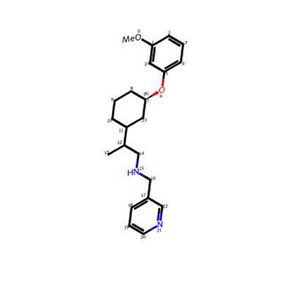 COc1cccc(O[C@@H]2CCCC(C(C)CNCc3cccnc3)C2)c1